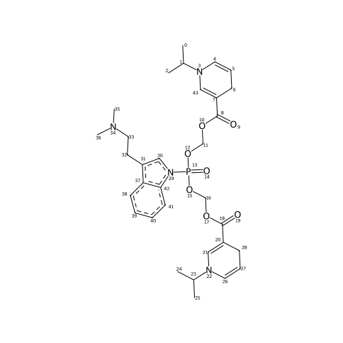 CC(C)N1C=CCC(C(=O)OCOP(=O)(OCOC(=O)C2=CN(C(C)C)C=CC2)n2cc(CCN(C)C)c3ccccc32)=C1